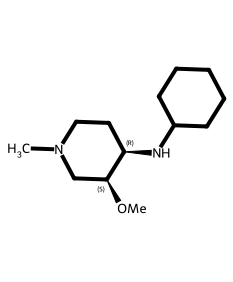 CO[C@H]1CN(C)CC[C@H]1NC1CCCCC1